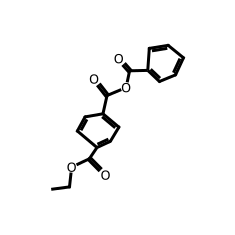 CCOC(=O)c1ccc(C(=O)OC(=O)c2ccccc2)cc1